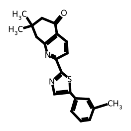 Cc1cccc(-c2cnc(-c3ccc4c(n3)CC(C)(C)CC4=O)s2)c1